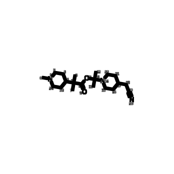 CN1CCC(C(C)(C)C(=O)OC(C)(C)N2CCC(CC#N)CC2)CC1